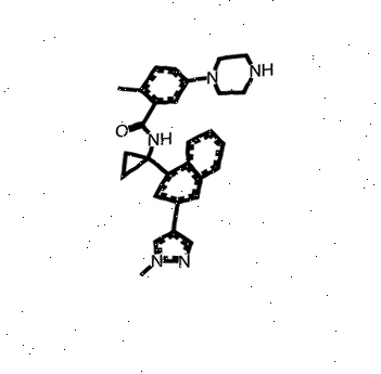 Cc1ccc(N2CCNCC2)cc1C(=O)NC1(c2cc(-c3cnn(C)c3)cc3ccccc23)CC1